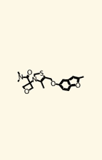 CC1=C(COc2ccc3oc(C)cc3c2)SCN1C1(C(=O)N(C)C)COC1